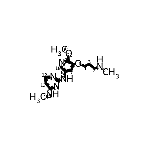 CNCCCOc1cc(Nc2nccc(NC)n2)cnc1OC